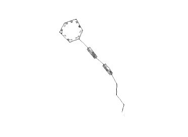 OCCCC#CC#Cc1ccccc1